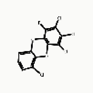 Fc1c(Cl)c(Cl)c(Cl)c2c1Oc1cccc(Cl)c1O2